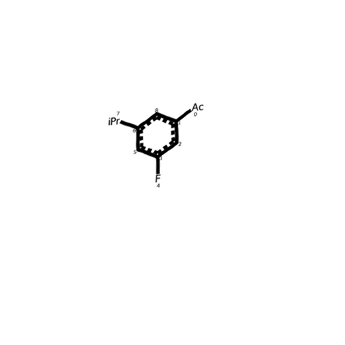 CC(=O)c1cc(F)cc(C(C)C)c1